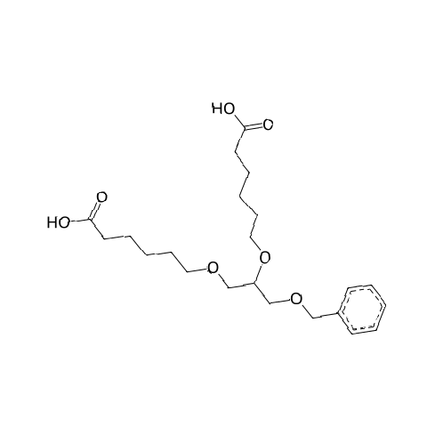 O=C(O)CCCCCOCC(COCc1ccccc1)OCCCCCC(=O)O